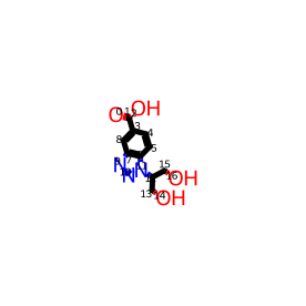 O=C(O)c1ccc2c(c1)nnn2C(CO)CO